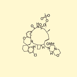 CO[C@@]1(CN2CCN3CCOC[C@@H]3C2)/C=C/C[C@H](C)[C@@H](CCOS(C)(=O)=O)S(=O)(=O)NC(=O)c2ccc3c(c2)N(C[C@@H]2CC[C@H]21)C[C@@]1(CCCc2cc(Cl)ccc21)CO3